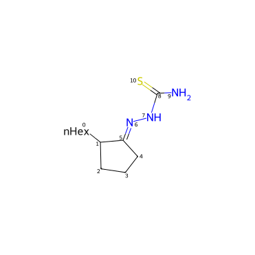 CCCCCCC1CCCC1=NNC(N)=S